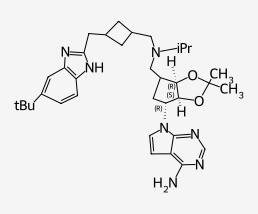 CC(C)N(CC1CC(Cc2nc3cc(C(C)(C)C)ccc3[nH]2)C1)CC1C[C@@H](n2ccc3c(N)ncnc32)[C@@H]2OC(C)(C)O[C@H]12